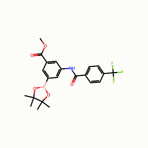 COC(=O)c1cc(NC(=O)c2ccc(C(F)(F)F)cc2)cc(B2OC(C)(C)C(C)(C)O2)c1